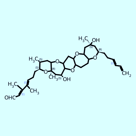 C=C/C=C/CC[C@@H]1C[C@](C)(O)CC2OC3CC4OC5C[C@H](C)[C@H](CC/C=C(C)/C(C)=C/C=O)O[C@]5(C)C[C@H](O)C4OC3CCC2O1